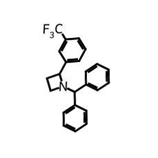 FC(F)(F)c1cccc(C2CCN2C(c2ccccc2)c2ccccc2)c1